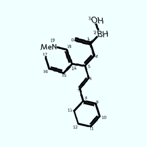 C=C(BO)C=C(/C=C/C1=CC=CCC1)C(/C=C\C)=C/NC